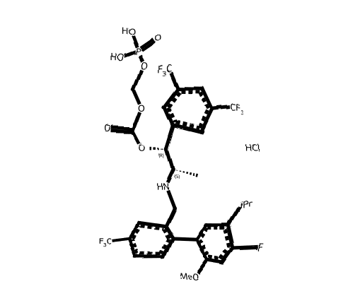 COc1cc(F)c(C(C)C)cc1-c1ccc(C(F)(F)F)cc1CN[C@@H](C)[C@H](OC(=O)OCOP(=O)(O)O)c1cc(C(F)(F)F)cc(C(F)(F)F)c1.Cl